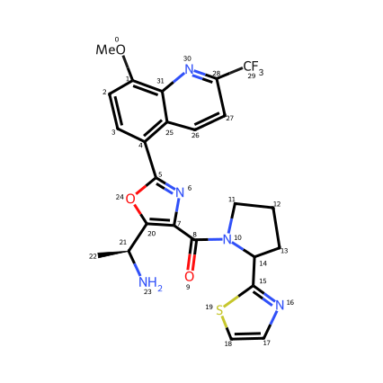 COc1ccc(-c2nc(C(=O)N3CCCC3c3nccs3)c([C@H](C)N)o2)c2ccc(C(F)(F)F)nc12